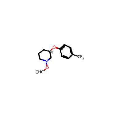 O=CON1CCC[C@@H](Oc2ccc(C(F)(F)F)cc2)C1